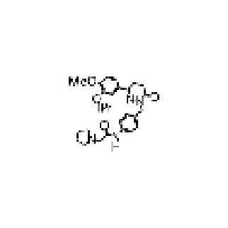 COc1ccc(C2=NN(Cc3ccc(NC(=O)CN4CCCC4)cc3)C(=O)CC2)cc1OC(C)C